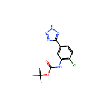 CC(C)(C)OC(=O)Nc1cc(-c2nn[nH]n2)ccc1Cl